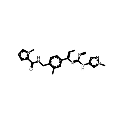 C=N/C(=N\C(=C/C)c1ccc(CNC(=O)c2cccn2C)c(C)c1)Nc1cnn(C)c1